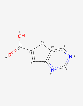 O=C(O)C1=Cc2ncncc2C1